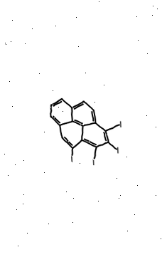 Ic1c(I)c2ccc3cccc4cc(I)c(c1I)c2c34